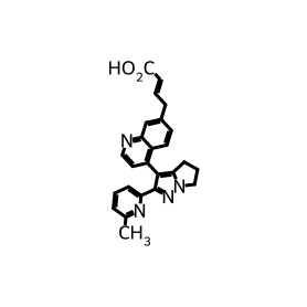 Cc1cccc(-c2nn3c(c2-c2ccnc4cc(CC=CC(=O)O)ccc24)CCC3)n1